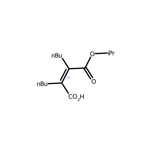 CCCC/C(C(=O)O)=C(\CCCC)C(=O)OC(C)C